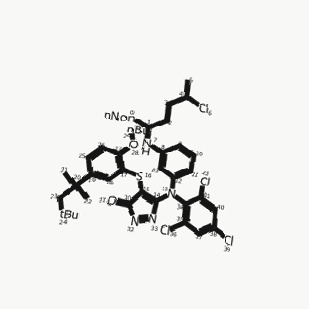 CCCCCCCCCC(CCC(C)Cl)Nc1cccc(N(C2=C(Sc3cc(C(C)(C)CC(C)(C)C)ccc3OCCCC)C(=O)N=N2)c2c(Cl)cc(Cl)cc2Cl)c1